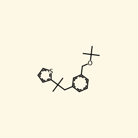 CC(C)(C)OCc1cccc(CC(C)(C)c2cccs2)c1